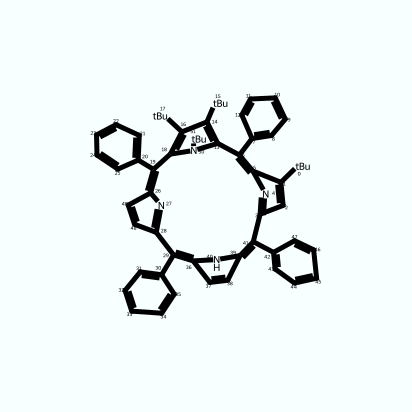 CC(C)(C)C1=Cc2nc1c(-c1ccccc1)c1c(C(C)(C)C)c(C(C)(C)C)c(c(-c3ccccc3)c3nc(c(-c4ccccc4)c4ccc([nH]4)c2-c2ccccc2)C=C3)n1C(C)(C)C